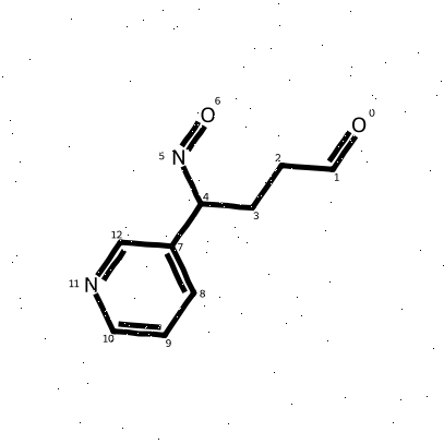 O=CCCC(N=O)c1cccnc1